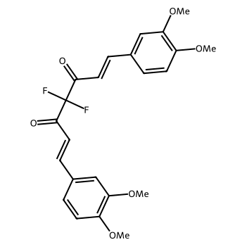 COc1ccc(/C=C/C(=O)C(F)(F)C(=O)/C=C/c2ccc(OC)c(OC)c2)cc1OC